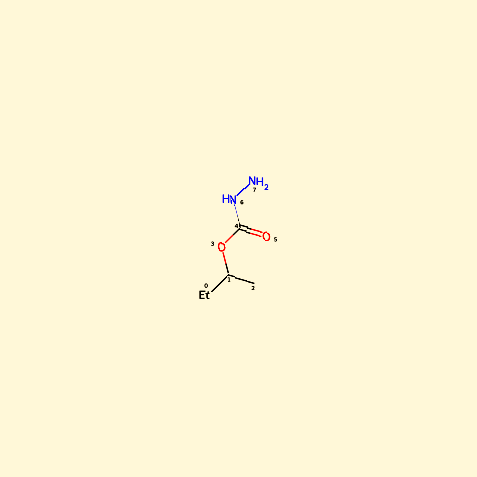 CCC(C)OC(=O)NN